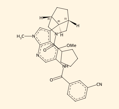 COc1c(NC(=O)c2cccc(C#N)c2)cnc2c1c([C@@H]1[C@@H]3CC[C@H]1CN(C(=O)C1CCCC1)C3)cn2C